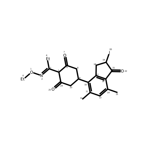 CCON=C(CC)C1C(=O)CC(c2c(C)cc(C)c3c2CC(I)C3=O)CC1=O